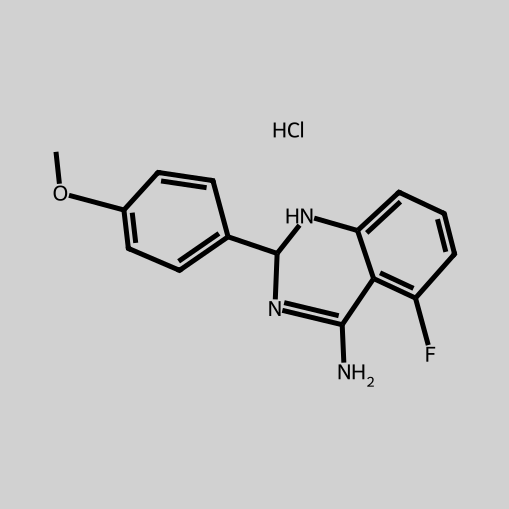 COc1ccc(C2N=C(N)c3c(F)cccc3N2)cc1.Cl